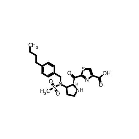 CCCCc1ccc(CN(C2CCN[C@@H]2C(=O)c2nc(C(=O)O)cs2)S(C)(=O)=O)cc1